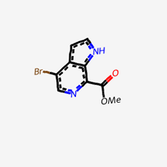 COC(=O)c1ncc(Br)c2cc[nH]c12